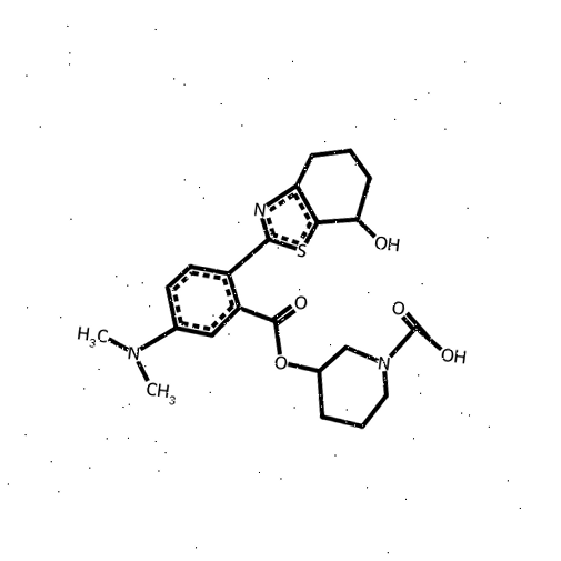 CN(C)c1ccc(-c2nc3c(s2)C(O)CCC3)c(C(=O)OC2CCCN(C(=O)O)C2)c1